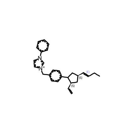 C=C[C@@H]1C[C@H](/C=C/CC)CC1c1ccc(C[n+]2ccn(-c3ccccc3)c2)cc1